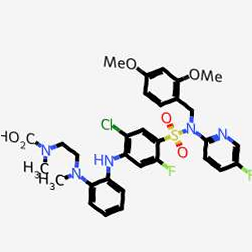 COc1ccc(CN(c2ccc(F)cn2)S(=O)(=O)c2cc(Cl)c(Nc3ccccc3N(C)CCN(C)C(=O)O)cc2F)c(OC)c1